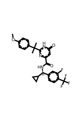 COc1ccc(C(C)(C)c2nc(C(=O)N[C@@H](c3ccc(C(F)(F)F)c(F)c3)C3CC3)cc(=O)[nH]2)cc1